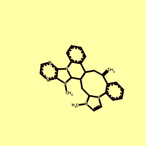 C=C1CC2c3ccccc3N3c4nccnc4N(C)C3C2CC2N(C)C=CN2c2ccccc21